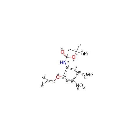 CCCC(C)(C)OC(=O)Nc1cc(NC)c([N+](=O)[O-])cc1OCC1CC1